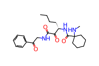 CCCC[C@H](NC(=O)C1(NC)CCCCC1)C(=O)C(=O)NCC(=O)c1ccccc1